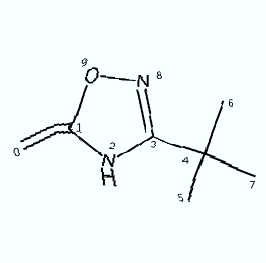 C=C1NC(C(C)(C)C)=NO1